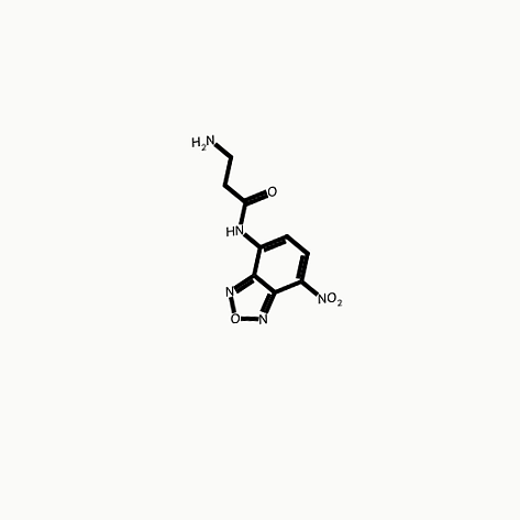 NCCC(=O)Nc1ccc([N+](=O)[O-])c2nonc12